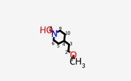 COCCC1CCN(O)CC1